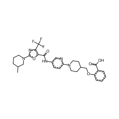 CC1CCCN(c2nc(C(F)(F)F)c(C(=O)Nc3ccc(N4CCC(COc5ccccc5C(=O)O)CC4)nc3)o2)C1